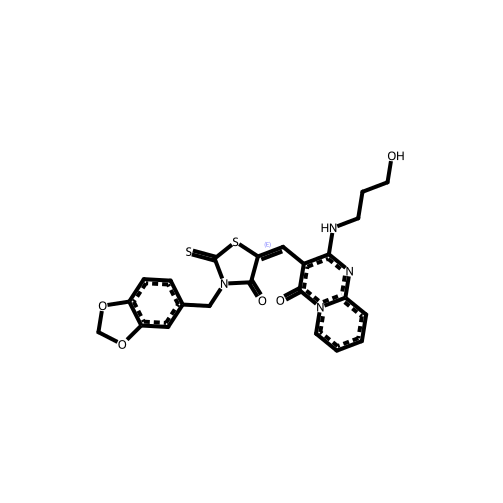 O=C1/C(=C\c2c(NCCCO)nc3ccccn3c2=O)SC(=S)N1Cc1ccc2c(c1)OCO2